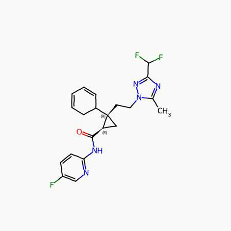 Cc1nc(C(F)F)nn1CC[C@@]1(C2C=CC=CC2)C[C@H]1C(=O)Nc1ccc(F)cn1